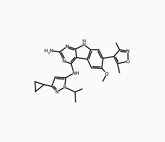 COc1cc2c(cc1-c1c(C)noc1C)[nH]c1nc(N)nc(Nc3cc(C4CC4)nn3C(C)C)c12